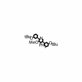 COc1c(-c2cccc(OC(C)(C)C)c2)ncc(-c2cccc(OC(C)(C)C)c2)c1P